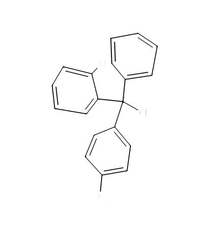 Pc1ccc(C(Cl)(c2ccccc2)c2ccccc2Cl)cc1